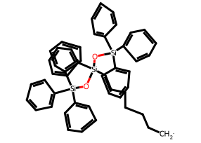 [CH2]CCCCCC[Si](O[Si](c1ccccc1)(c1ccccc1)c1ccccc1)(O[Si](c1ccccc1)(c1ccccc1)c1ccccc1)c1ccccc1